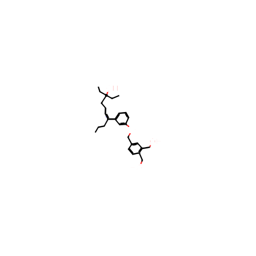 CCC/C(=C/CCC(O)(CC)CC)c1cccc(OCc2ccc(CO)c(CO)c2)c1